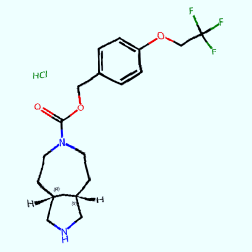 Cl.O=C(OCc1ccc(OCC(F)(F)F)cc1)N1CC[C@@H]2CNC[C@@H]2CC1